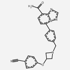 N#Cc1ccc(OC2CN(Cc3ccc(-c4ccc(C(N)=O)c5n[c]nn45)cc3)C2)cc1